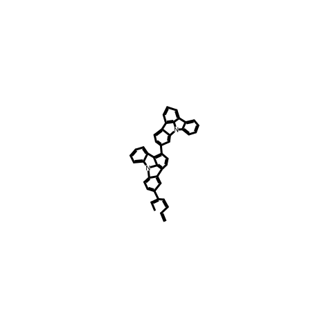 C=C/C=C\C(=C/C)c1ccc2c(c1)c1ccc(-c3ccc4c5cccc6c7ccccc7n(c4c3)c65)c3c4ccccc4n2c13